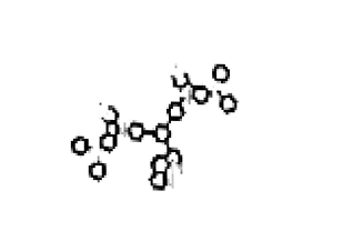 c1ccc(N(c2ccccc2)c2ccc3c(c2)c2cnccc2n3-c2ccc(-c3cc(-c4ccc(-n5c6ccncc6c6cc(N(c7ccccc7)c7ccccc7)ccc65)cc4)cc(-c4ccnc5c4ccc4cccnc45)c3)cc2)cc1